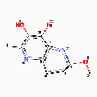 COc1ccc2nc(C)c(O)c(Br)c2n1